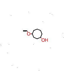 C=COC1CCCCC(O)CC1